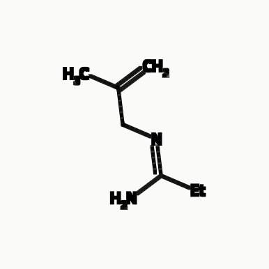 C=C(C)C/N=C(\N)CC